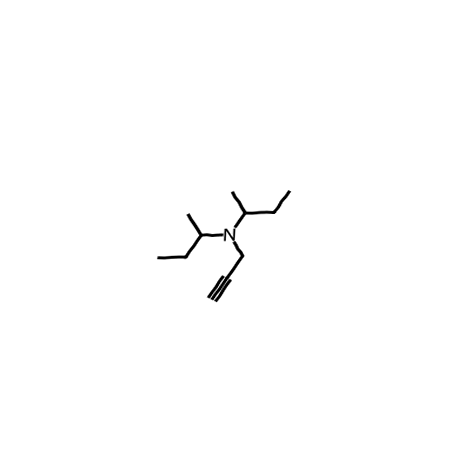 C#CCN(C(C)CC)C(C)CC